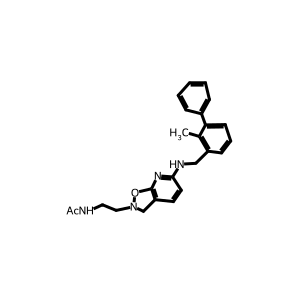 CC(=O)NCCN1Cc2ccc(NCc3cccc(-c4ccccc4)c3C)nc2O1